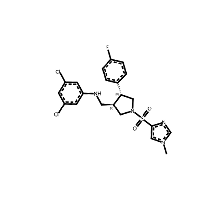 Cn1cnc(S(=O)(=O)N2C[C@@H](CNc3cc(Cl)cc(Cl)c3)[C@H](c3ccc(F)cc3)C2)c1